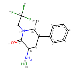 C[C@@H]1C(c2ccccc2)CC(N)C(=O)N1CC(F)(F)F.Cl